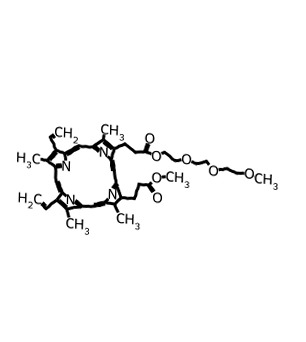 C=CC1=C(C)C2=NC1=CC1=NC(=CC3=NC(=CC4=NC(=C2)C(C=C)=C4C)C(C)C3CCC(=O)OC)C(CCC(=O)OCCOCCOCCOC)=C1C